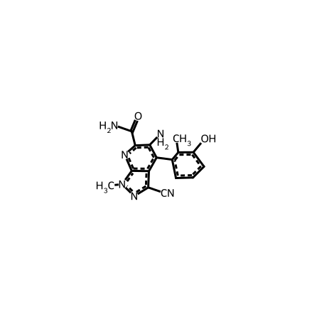 Cc1c(O)cccc1-c1c(N)c(C(N)=O)nc2c1c(C#N)nn2C